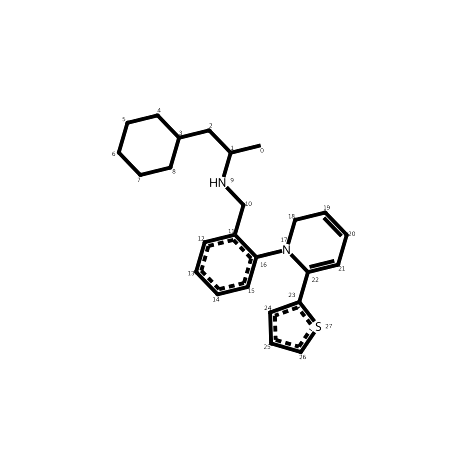 CC(CC1CCCCC1)NCc1ccccc1N1CC=CC=C1c1cccs1